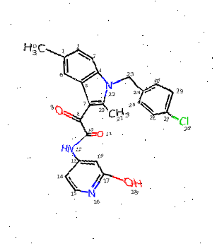 Cc1ccc2c(c1)c(C(=O)C(=O)Nc1ccnc(O)c1)c(C)n2Cc1ccc(Cl)cc1